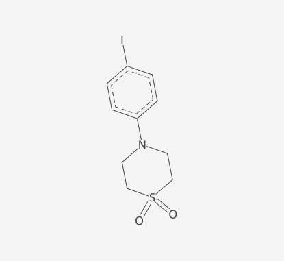 O=S1(=O)CCN(c2ccc(I)cc2)CC1